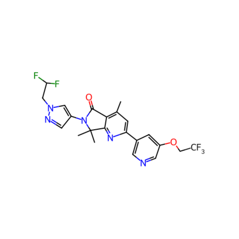 Cc1cc(-c2cncc(OCC(F)(F)F)c2)nc2c1C(=O)N(c1cnn(CC(F)F)c1)C2(C)C